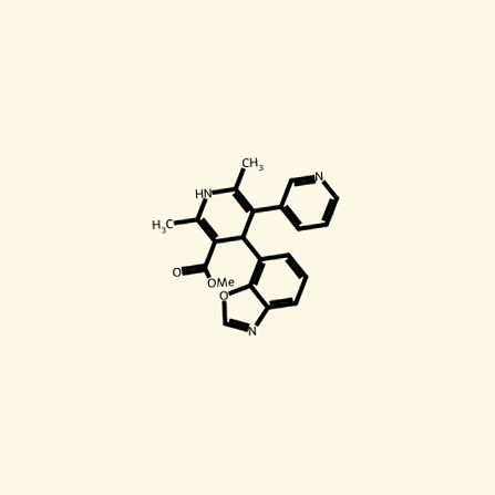 COC(=O)C1=C(C)NC(C)=C(c2cccnc2)C1c1cccc2ncoc12